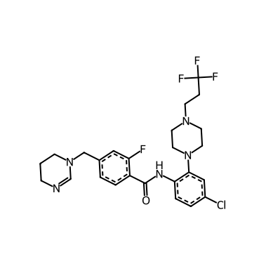 O=C(Nc1ccc(Cl)cc1N1CCN(CCC(F)(F)F)CC1)c1ccc(CN2C=NCCC2)cc1F